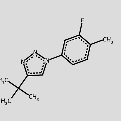 Cc1ccc(-n2cc(C(C)(C)C)nn2)cc1F